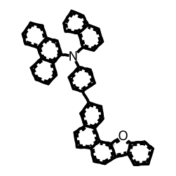 c1ccc2c(N(c3ccc(-c4ccc5c(ccc6ccc7c8ccccc8oc7c65)c4)cc3)c3cc4ccccc4c4ccccc34)cccc2c1